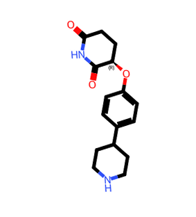 O=C1CC[C@@H](Oc2ccc(C3CCNCC3)cc2)C(=O)N1